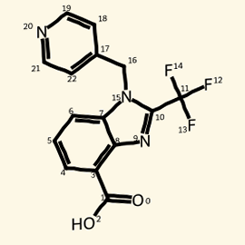 O=C(O)c1cccc2c1nc(C(F)(F)F)n2Cc1ccncc1